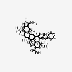 CC1(C)CC2C3=C(c4c[nH]c(CN5CCOCC5)c4)CC4C5(C)Cc6c(n[nH]c6N)C(C)(C)C5CCC4(C)C3(C)CCC2[C@H](C(=O)O)C1